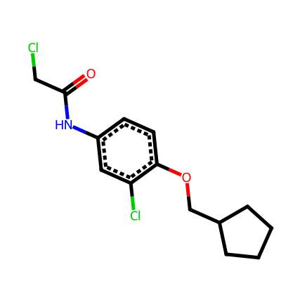 O=C(CCl)Nc1ccc(OCC2CCCC2)c(Cl)c1